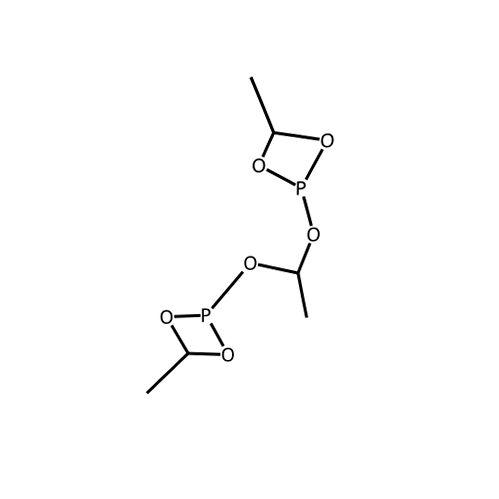 CC1OP(OC(C)OP2OC(C)O2)O1